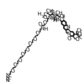 CC[C@@]1(O)C(=O)OCc2c1cc1n(c2=O)Cc2cc3cc(NC(=O)[C@H](C)NC(=O)[C@@H](NC(=O)COCC(=O)NCCOCCOCCOCCOCCOCCOCCOCCOCCN=[N+]=[N-])C(C)C)c(F)cc3nc2-1